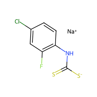 Fc1cc(Cl)ccc1NC(=S)[S-].[Na+]